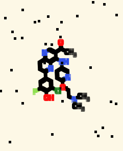 CC(=O)c1cnc2ccc(-c3cc(F)c(O)c(Cl)c3)nc2c1Nc1ccc(OCCN(C)C)nc1